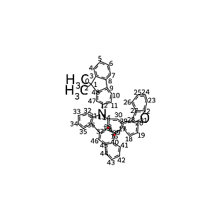 CC1(C)c2ccccc2-c2ccc(N(c3ccc4ccc5oc6ccccc6c5c4c3)c3ccccc3-c3ccc4ccccc4c3)cc21